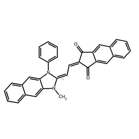 CN1/C(=C/C=C2C(=O)c3cc4ccccc4cc3C2=O)N(c2ccccc2)c2cc3ccccc3cc21